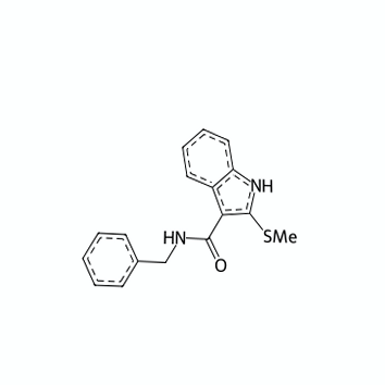 CSc1[nH]c2ccccc2c1C(=O)NCc1ccccc1